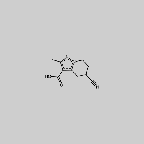 Cc1nn2c(c1C(=O)O)CB(C#N)CC2